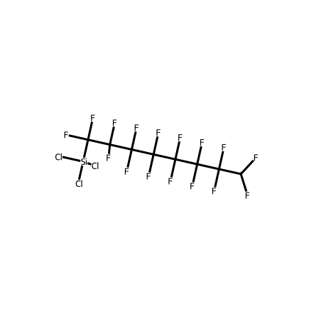 F[C](F)C(F)(F)C(F)(F)C(F)(F)C(F)(F)C(F)(F)C(F)(F)C(F)(F)[Si](Cl)(Cl)Cl